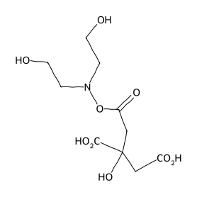 O=C(O)CC(O)(CC(=O)ON(CCO)CCO)C(=O)O